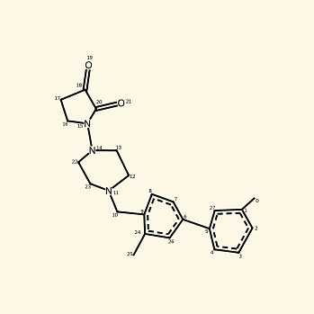 Cc1cccc(-c2ccc(CN3CCN(N4CCC(=O)C4=O)CC3)c(C)c2)c1